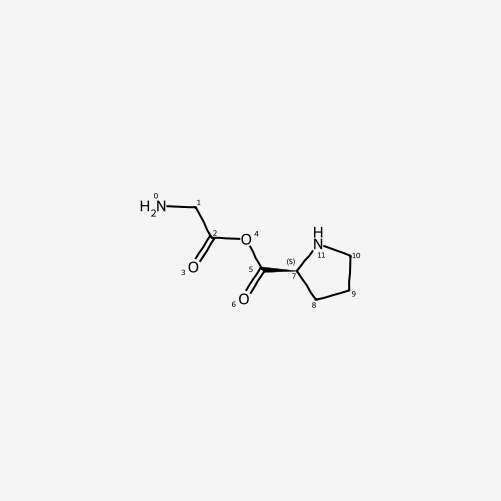 NCC(=O)OC(=O)[C@@H]1CCCN1